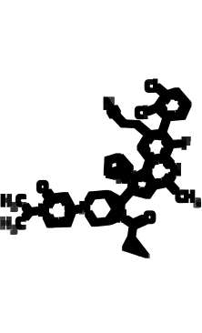 Cc1nc2c(F)c(-c3cccc(Cl)c3Cl)c(CCC#N)cc2c2c1cc(C1C3CC(CN(c4ccn(C(C)C)c(=O)c4)C3)N1C(=O)C1CC1)n2C1C2CNC1C2